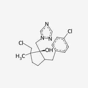 CC1(CCl)CCC(Cc2ccc(Cl)cc2)[C@@]1(O)Cn1cncn1